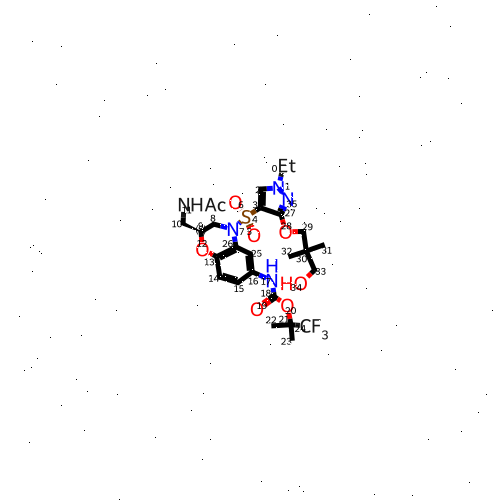 CCn1cc(S(=O)(=O)N2C[C@H](CNC(C)=O)Oc3ccc(NC(=O)OC(C)(C)C(F)(F)F)cc32)c(OCC(C)(C)CO)n1